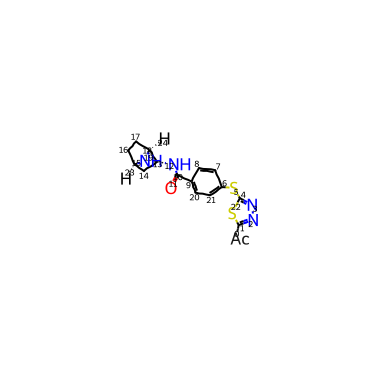 CC(=O)c1nnc(Sc2ccc(C(=O)N[C@@H]3C[C@H]4CC[C@@H]3N4)cc2)s1